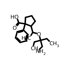 CCC(CC)(CN)OC(C)C1CCCC1(C(=O)O)c1ccccc1